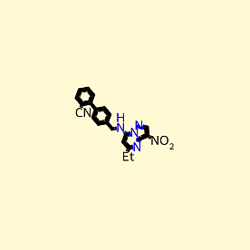 CCc1cc(NCc2ccc(-c3ccccc3C#N)cc2)n2ncc([N+](=O)[O-])c2n1